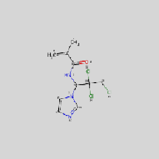 C=C(C)C(=O)NC(n1ccnc1)C(Cl)(Cl)CCl